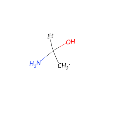 [CH2]C(N)(O)CC